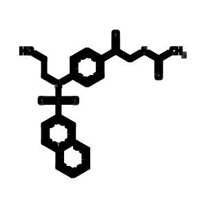 CC(=O)SCC(=O)c1ccc(N(CCO)S(=O)(=O)c2ccc3ccccc3c2)cc1